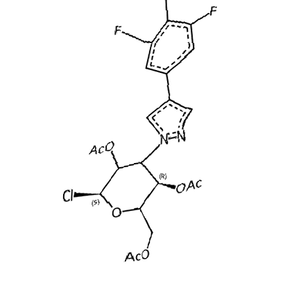 CC(=O)OCC1O[C@@H](Cl)C(OC(C)=O)C(n2cc(-c3cc(F)c(Cl)c(F)c3)cn2)[C@H]1OC(C)=O